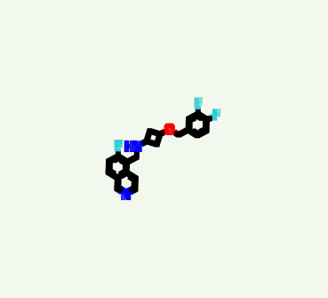 Fc1ccc(COC2CC(NCc3c(F)ccc4cnccc34)C2)cc1F